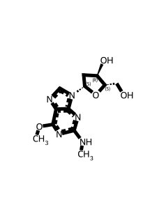 CNc1nc(OC)c2ncn([C@@H]3C[C@@H](O)[C@H](CO)O3)c2n1